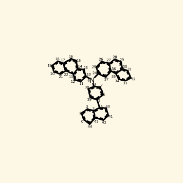 c1ccc2c(-c3ccc(N(c4ccc5c(ccc6ccccc65)c4)c4ccc5ccc6ccccc6c5c4)cc3)cccc2c1